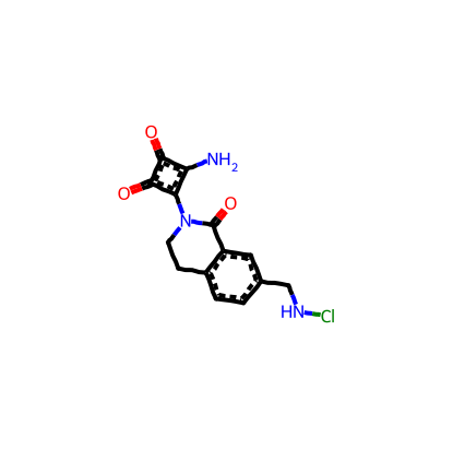 Nc1c(N2CCc3ccc(CNCl)cc3C2=O)c(=O)c1=O